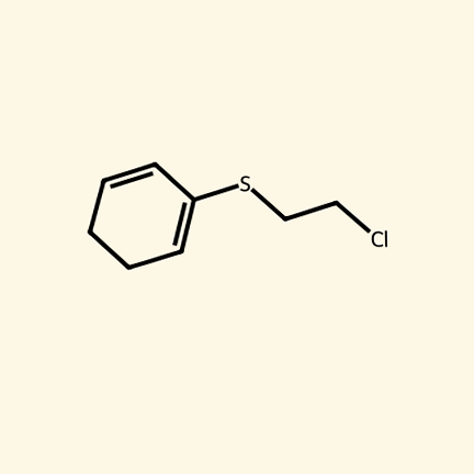 ClCCSC1=CCCC=C1